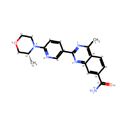 Cc1nc(-c2ccc(N3CCOC[C@H]3C)nc2)nc2cc(C(N)=O)ccc12